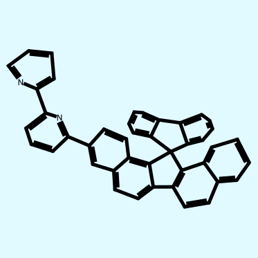 c1ccc(-c2cccc(-c3ccc4c5c(ccc4c3)-c3ccc4ccccc4c3C53c4ccccc4-c4ccccc43)n2)nc1